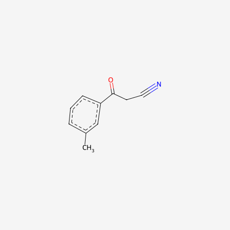 Cc1cccc(C(=O)CC#N)c1